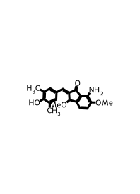 COc1ccc2c(c1N)C(=O)C(=Cc1cc(C)c(O)c(C)c1)C2OC